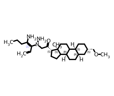 C=C/C(=C(/N)CCC)N(N)CC(=O)[C@H]1CCC2[C@@H]3CC[C@@H]4C[C@@H](COC)CC[C@@H]4C3CC[C@@]21C